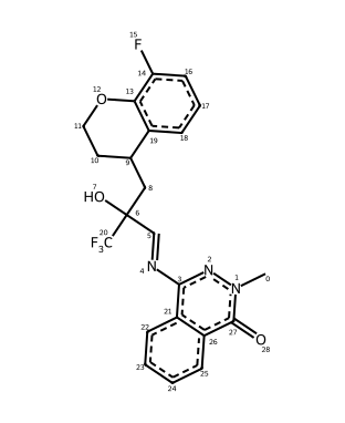 Cn1nc(/N=C/C(O)(CC2CCOc3c(F)cccc32)C(F)(F)F)c2ccccc2c1=O